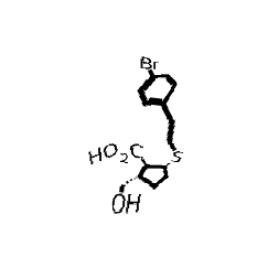 O=C(O)[C@@H]1[C@@H](CO)CC[C@H]1SCCc1ccc(Br)cc1